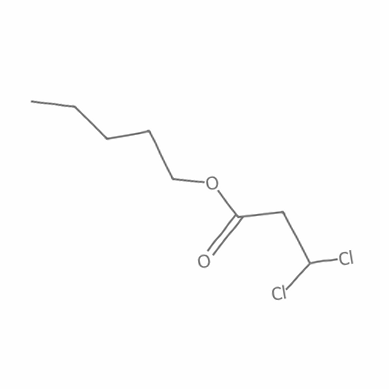 CCCCCOC(=O)CC(Cl)Cl